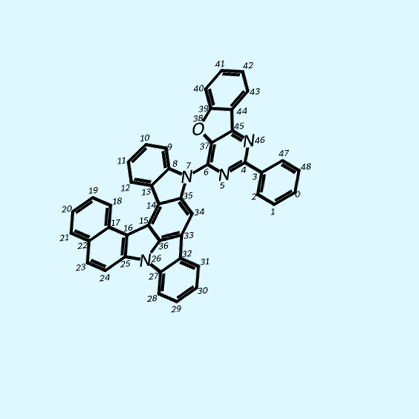 c1ccc(-c2nc(-n3c4ccccc4c4c5c6c7ccccc7ccc6n6c7ccccc7c(cc43)c56)c3oc4ccccc4c3n2)cc1